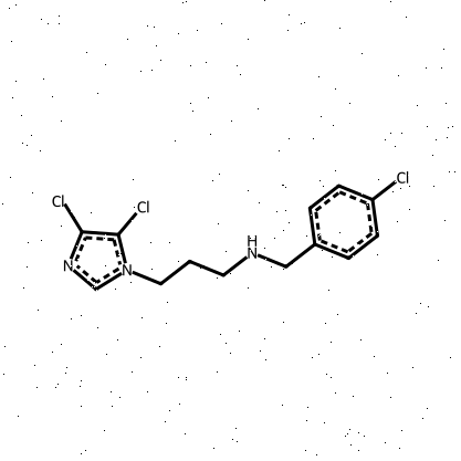 Clc1ccc(CNCCCn2cnc(Cl)c2Cl)cc1